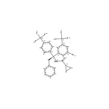 O=C(N[C@@](Cc1ccccc1)(c1cc(F)cc(C(F)(F)F)c1)c1ccc(C(F)(F)F)cn1)C1CC1